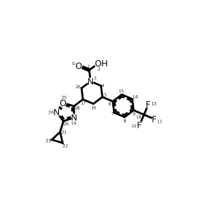 O=C(O)N1CC(c2ccc(C(F)(F)F)cc2)CC(c2nc(C3CC3)no2)C1